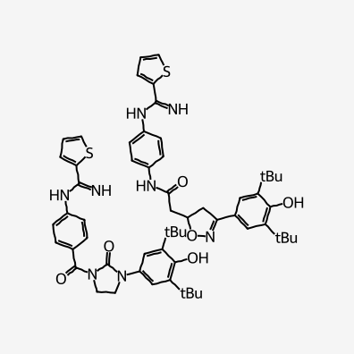 CC(C)(C)c1cc(C2=NOC(CC(=O)Nc3ccc(NC(=N)c4cccs4)cc3)C2)cc(C(C)(C)C)c1O.CC(C)(C)c1cc(N2CCN(C(=O)c3ccc(NC(=N)c4cccs4)cc3)C2=O)cc(C(C)(C)C)c1O